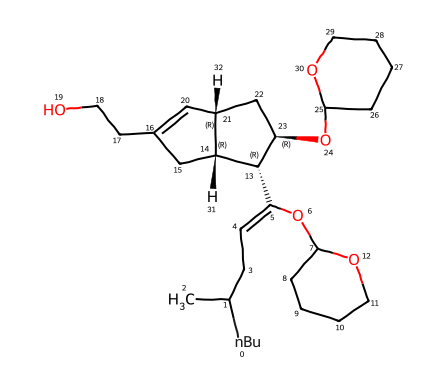 CCCCC(C)CC=C(OC1CCCCO1)[C@@H]1[C@@H]2CC(CCO)=C[C@@H]2C[C@H]1OC1CCCCO1